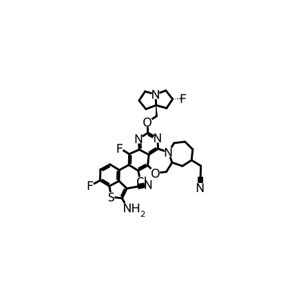 N#CCC1CCCN2c3nc(OC[C@@]45CCCN4C[C@H](F)C5)nc4c(F)c(-c5ccc(F)c6sc(N)c(C#N)c56)c(Cl)c(c34)OCC2C1